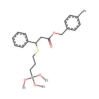 CCO[Si](CCCSC(CC(=O)OCc1ccc(C(C)C)cc1)c1ccccc1)(OCC)OCC